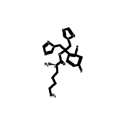 NCCCC[C@H](N)C(=O)OC(Cn1cncn1)(Cn1cncn1)c1ccc(F)cc1F